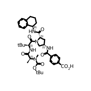 C[C@@H](C(=O)N[C@H](C(=O)N1C[C@@H](NC(=O)c2ccc(C(=O)O)cc2)C[C@H]1C(=O)N[C@@H]1CCCc2ccccc21)C(C)(C)C)N(C)C(=O)OC(C)(C)C